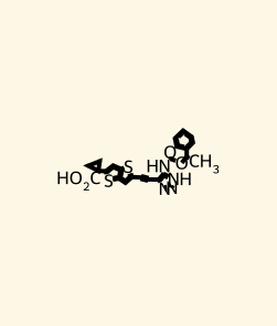 CC(OC(=O)Nc1[nH]nnc1C#Cc1cc2sc(C3(C(=O)O)CC3)cc2s1)c1ccccc1